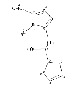 Cn1c(OC(=O)C2CC=CC2)cnc1C=O